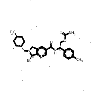 CC[C@@H]1c2ncc(C(=O)N[C@@H](COC(N)=O)c3ccc(C)cc3)cc2CN1C[C@H]1CC[C@H](C(F)(F)F)CC1